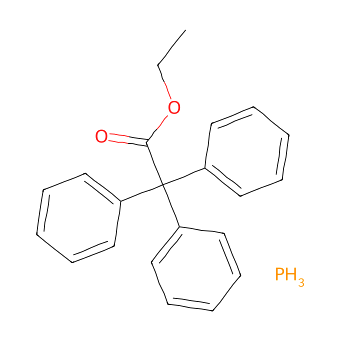 CCOC(=O)C(c1ccccc1)(c1ccccc1)c1ccccc1.P